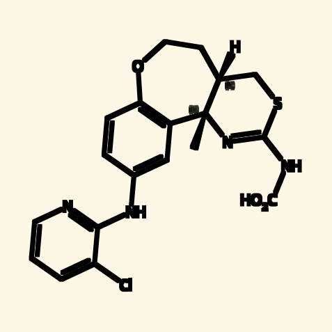 C[C@]12N=C(NC(=O)O)SC[C@H]1CCOc1ccc(Nc3ncccc3Cl)cc12